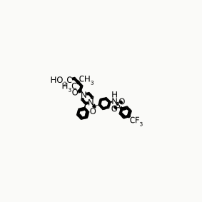 CC(C)(CC(=O)O)CC(=O)N1CCN(C(=O)[C@H]2CC[C@H](NS(=O)(=O)c3ccc(C(F)(F)F)cc3)CC2)[C@@H](c2ccccc2)C1